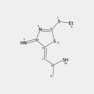 CCSC1=NC(=N)/C(=C/C(C)S)S1